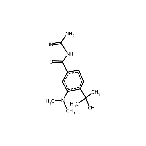 CN(C)c1cc(C(=O)NC(=N)N)ccc1C(C)(C)C